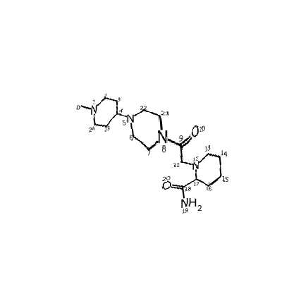 CN1CCC(N2CCN(C(=O)CN3CCC[CH]C3C(N)=O)CC2)CC1